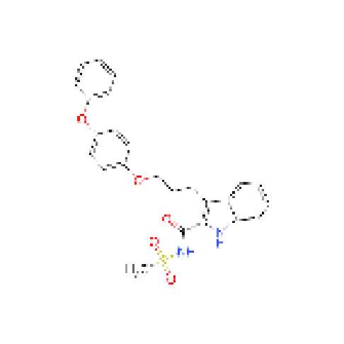 CS(=O)(=O)NC(=O)c1[nH]c2ccccc2c1CCCOc1ccc(Oc2ccccc2)cc1